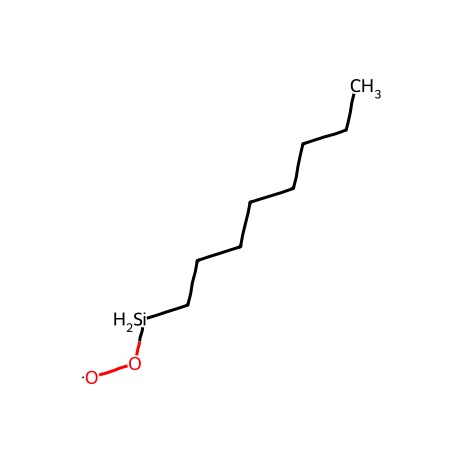 CCCCCCCC[SiH2]O[O]